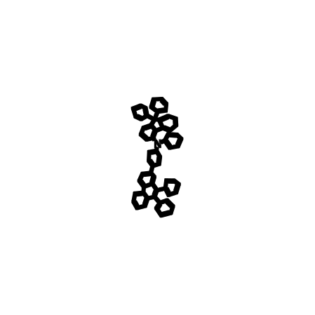 c1ccc(-c2c(-c3ccccc3)c3cc(-c4ccc(N(c5ccccc5)c5cccc6c5-c5ccccc5C6(c5ccccc5)c5ccccc5)cc4)ccc3c3ccccc23)cc1